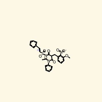 CCN(C(=O)C(Cc1cccc(OC)c1[N+](=O)[O-])C(=O)NS(=O)(=O)/C=C/c1ccccc1)c1ccccc1